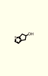 OC1Cc2ccsc2C1